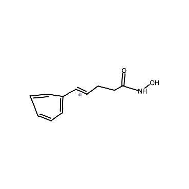 O=C(C[CH]/C=C/c1ccccc1)NO